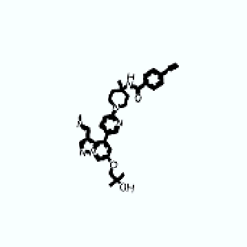 C#Cc1ccc(C(=O)NC2(C)CCN(c3ccc(-c4cc(OCC(C)(C)O)cn5ncc(C=NC)c45)cn3)CC2)cc1